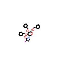 O=C1C(I)CCN1C1=CO[C@H](COCc2ccccc2)[C@H](OCc2ccccc2)[C@@H]1OCc1ccccc1